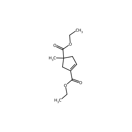 CCOC(=O)C1=CCC(C)(C(=O)OCC)C1